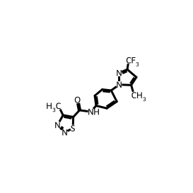 Cc1nnsc1C(=O)Nc1ccc(-n2nc(C(F)(F)F)cc2C)cc1